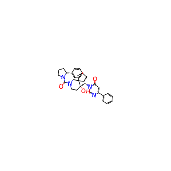 O=C(N1CCC(O)(Cn2cnc(-c3ccccc3)cc2=O)C2(CCCC2)C1)N1CCCC1c1ccccc1